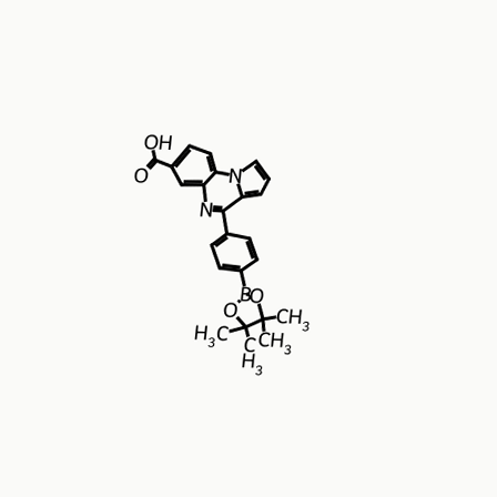 CC1(C)OB(c2ccc(-c3nc4cc(C(=O)O)ccc4n4cccc34)cc2)OC1(C)C